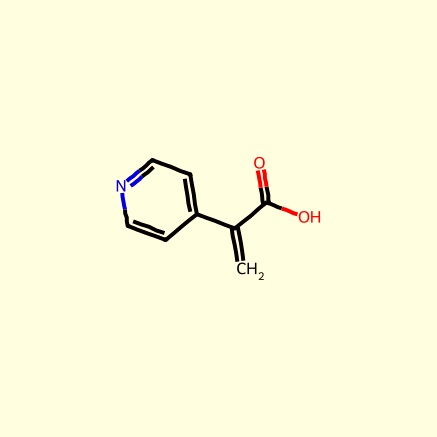 C=C(C(=O)O)c1ccncc1